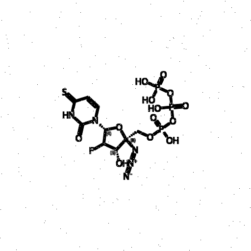 [N-]=[N+]=N[C@]1(COP(=O)(O)OP(=O)(O)OP(=O)(O)O)O[C@@H](n2ccc(=S)[nH]c2=O)C(F)[C@H]1O